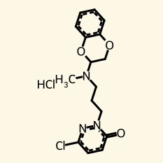 CN(CCCn1nc(Cl)ccc1=O)C1COc2ccccc2O1.Cl